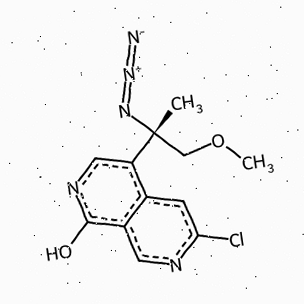 COC[C@@](C)(N=[N+]=[N-])c1cnc(O)c2cnc(Cl)cc12